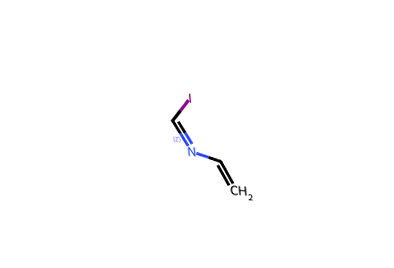 C=C/N=C\I